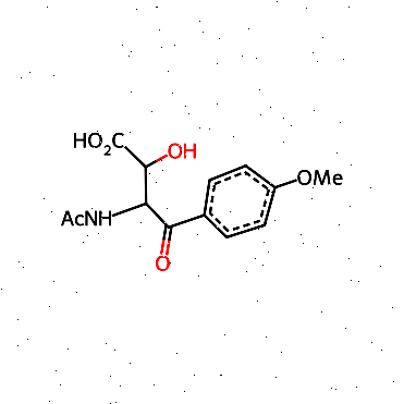 COc1ccc(C(=O)C(NC(C)=O)C(O)C(=O)O)cc1